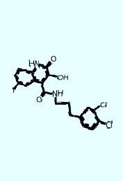 O=C(NCCCc1ccc(Cl)c(Cl)c1)c1c(O)c(=O)[nH]c2ccc(I)cc12